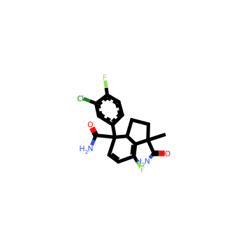 CC1(C(N)=O)CCC2C1=C(F)C=CC2(C(N)=O)c1ccc(F)c(Cl)c1